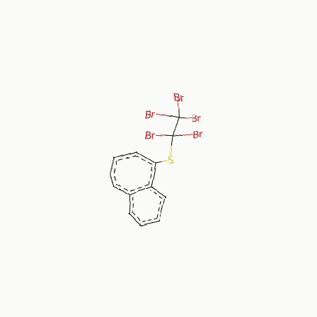 BrC(Br)(Br)C(Br)(Br)Sc1cccc2ccccc12